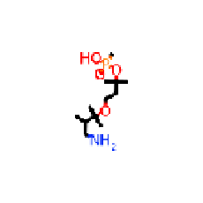 CC(CN)C(C)(C)OCCC(C)(C)OP(C)(=O)O